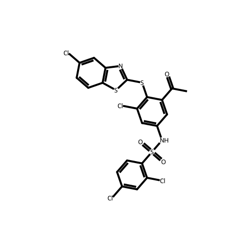 CC(=O)c1cc(NS(=O)(=O)c2ccc(Cl)cc2Cl)cc(Cl)c1Sc1nc2cc(Cl)ccc2s1